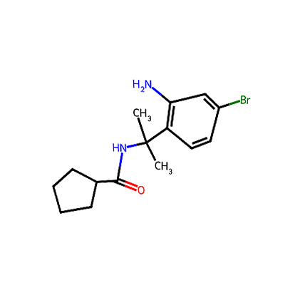 CC(C)(NC(=O)C1CCCC1)c1ccc(Br)cc1N